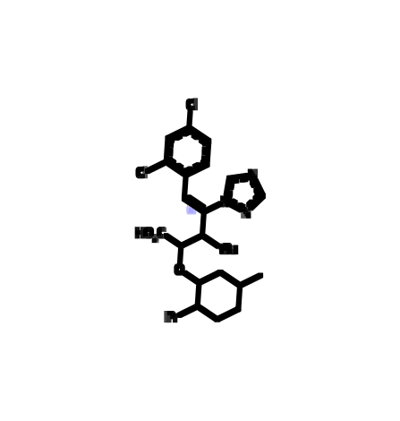 CC1CCC(C(C)C)C(OC(C(=O)O)C(/C(=C/c2ccc(Cl)cc2Cl)n2cncn2)C(C)(C)C)C1